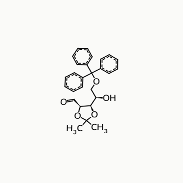 CC1(C)O[C@H]([C@H](O)COC(c2ccccc2)(c2ccccc2)c2ccccc2)[C@H](C=O)O1